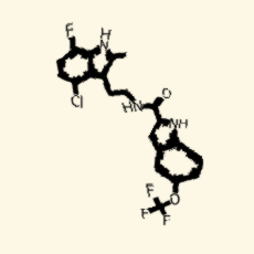 Cc1[nH]c2c(F)ccc(Cl)c2c1CCNC(=O)c1cc2cc(OC(F)(F)F)ccc2[nH]1